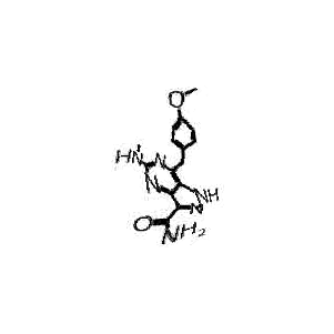 CNc1nc(Cc2ccc(OC)cc2)c2[nH]nc(C(N)=O)c2n1